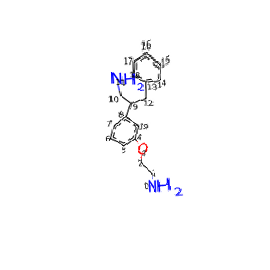 NCCOc1cccc(C(CN)Cc2ccccc2)c1